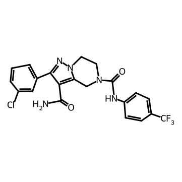 NC(=O)c1c(-c2cccc(Cl)c2)nn2c1CN(C(=O)Nc1ccc(C(F)(F)F)cc1)CC2